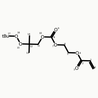 C=CC(=O)OCCOC(=O)OCC(C)(C)OOC(C)(C)C